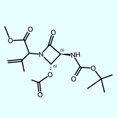 C=C(C)C(C(=O)OC)N1C(=O)[C@@H](NC(=O)OC(C)(C)C)[C@@H]1OC(C)=O